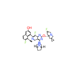 C#Cc1c(F)ccc2cc(O)cc(-c3ncc4c(N5C[C@H]6CC[C@@H](C5)N6)nc(OC[C@]56C[C@@H](F)CN5CC5(CC5)C6)nc4c3F)c12